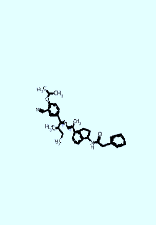 CCC(C)/C(=N\C=C(/C)c1cccc2c1CCC2NC(=O)Cc1ccccc1)c1ccc(OC(C)C)c(C#N)c1